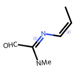 C/C=C\N=C(\C=O)NC